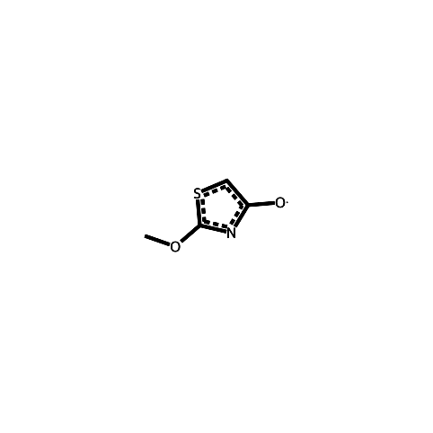 COc1nc([O])cs1